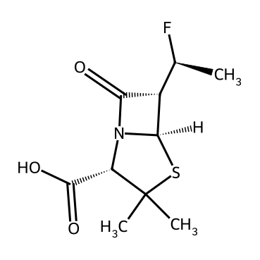 C[C@H](F)[C@H]1C(=O)N2[C@@H]1SC(C)(C)[C@@H]2C(=O)O